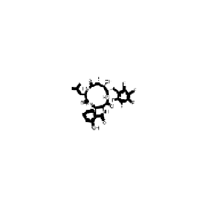 CC(C)CC1NC(=O)[C@H](C)[C@H](O)[C@H](Cc2c(F)c(F)c(F)c(F)c2F)NC(=O)[C@@H](NC(=O)c2ccccc2O)[C@@H](C)NC1=O